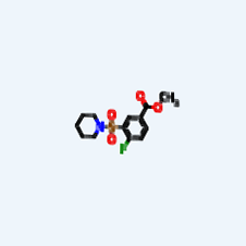 COC(=O)c1ccc(F)c(S(=O)(=O)N2CCCCC2)c1